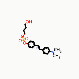 CN(C)c1ccc(/C=C/c2ccc(OS(=O)(=O)OCCCCO)cc2)cc1